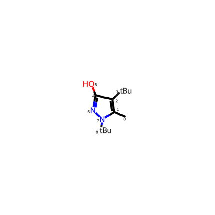 Cc1c(C(C)(C)C)c(O)nn1C(C)(C)C